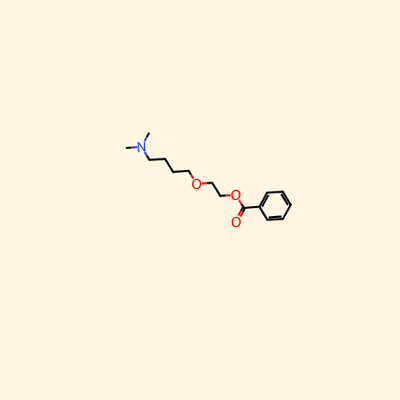 CN(C)CCCCOCCOC(=O)c1ccccc1